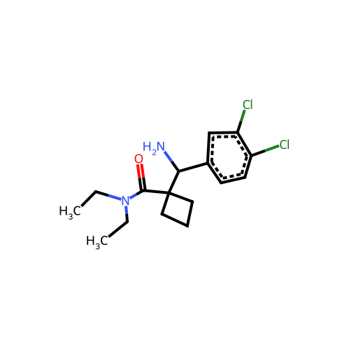 CCN(CC)C(=O)C1(C(N)c2ccc(Cl)c(Cl)c2)CCC1